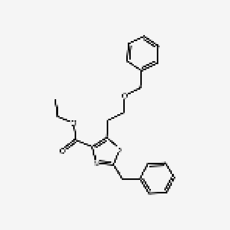 CCOC(=O)c1nc(Cc2ccccc2)sc1CCOCc1ccccc1